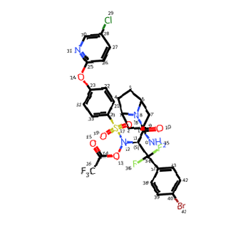 NC1CC2CCC(C1)N2C(=O)[C@H](N(OC(=O)C(F)(F)F)S(=O)(=O)c1ccc(Oc2ccc(Cl)cn2)cc1)C(F)(F)c1ccc(Br)cc1